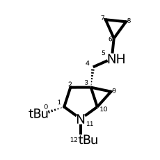 CC(C)(C)[C@@H]1C[C@@]2(CNC3CC3)CC2N1C(C)(C)C